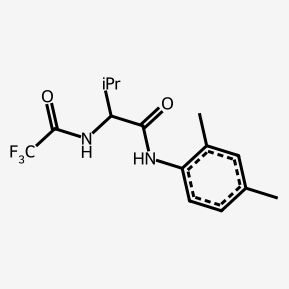 Cc1ccc(NC(=O)C(NC(=O)C(F)(F)F)C(C)C)c(C)c1